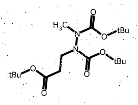 CN(C(=O)OC(C)(C)C)N(CCC(=O)OC(C)(C)C)C(=O)OC(C)(C)C